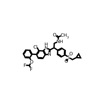 CC(=O)NCC(c1ccc(S(=O)(=O)CC2CC2)cc1)c1nc2ccc(-c3ccccc3OC(F)F)c(Cl)c2[nH]1